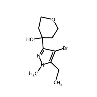 CCc1c(Br)c(C2(O)CCOCC2)nn1C